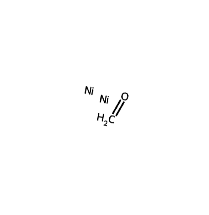 C=O.[Ni].[Ni]